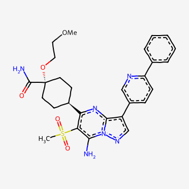 COCCO[C@]1(C(N)=O)CC[C@@H](c2nc3c(-c4ccc(-c5ccccc5)nc4)cnn3c(N)c2S(C)(=O)=O)CC1